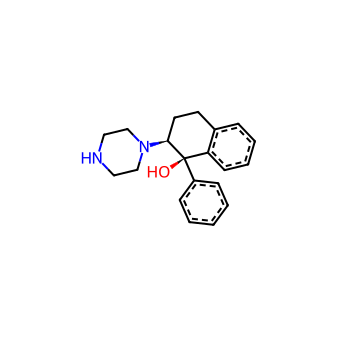 O[C@]1(c2ccccc2)c2ccccc2CC[C@@H]1N1CCNCC1